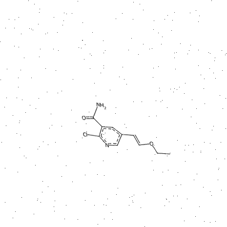 CCO/C=C/c1cnc(Cl)c(C(N)=O)c1